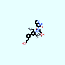 CC(C)c1cc(-c2cccc(CCCO)c2)cc(C(C)C)c1NC(=O)N(CCCO)c1cc2cccnc2[nH]c1=O